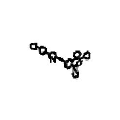 O=C(C(=O)C1CC(C#Cc2ccc(-c3ccc(Cl)cc3)cn2)=CC=C1CN1CCCC1)c1ccccc1